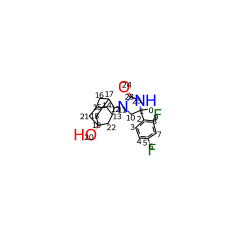 CC1(c2ccc(F)cc2F)CN(C2C3CC4CC2CC(O)(C4)C3)C(=O)N1